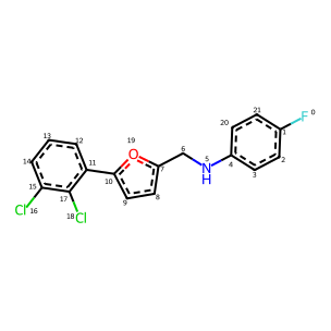 Fc1ccc(NCc2ccc(-c3cccc(Cl)c3Cl)o2)cc1